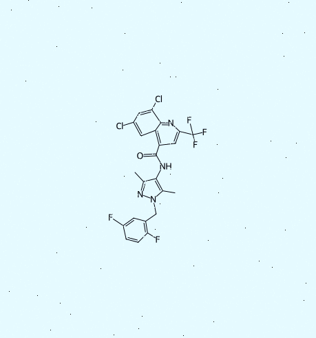 Cc1nn(Cc2cc(F)ccc2F)c(C)c1NC(=O)c1cc(C(F)(F)F)nc2c(Cl)cc(Cl)cc12